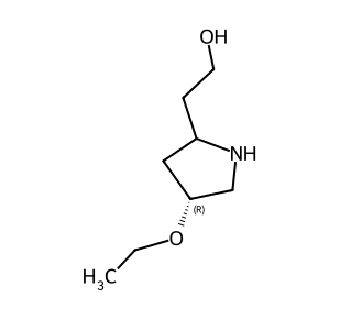 CCO[C@H]1CNC(CCO)C1